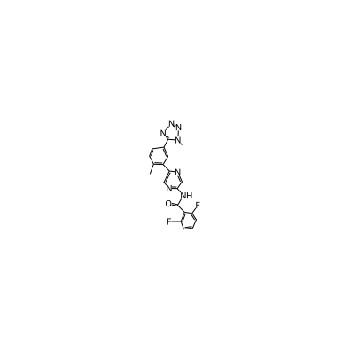 Cc1ccc(-c2nnnn2C)cc1-c1cnc(NC(=O)c2c(F)cccc2F)cn1